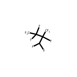 FC(F)C(F)(C(F)(F)F)C(F)(F)C(F)(F)F